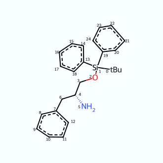 CC(C)(C)[Si](OC[C@H](N)Cc1ccccc1)(c1ccccc1)c1ccccc1